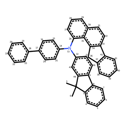 CC1(C)c2ccccc2-c2ccc(N(c3ccc(-c4ccccc4)cc3)c3cccc4ccc5c(c34)Cc3ccccc3-5)cc21